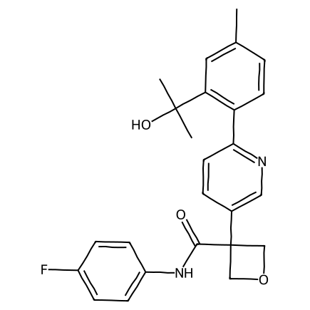 Cc1ccc(-c2ccc(C3(C(=O)Nc4ccc(F)cc4)COC3)cn2)c(C(C)(C)O)c1